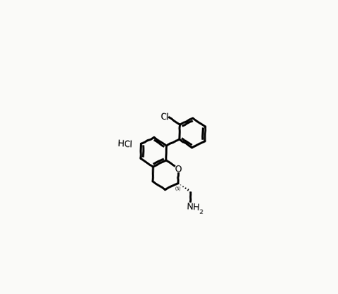 Cl.NC[C@@H]1CCc2cccc(-c3ccccc3Cl)c2O1